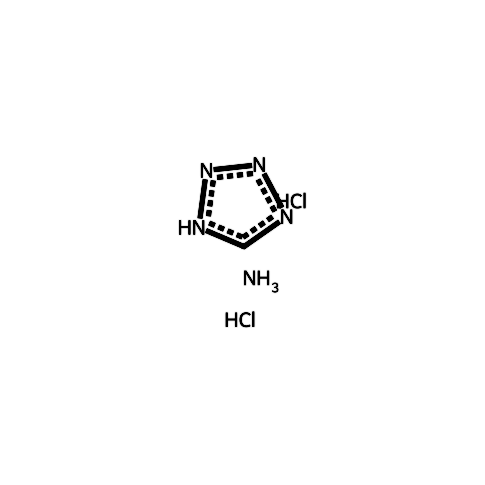 Cl.Cl.N.c1nnn[nH]1